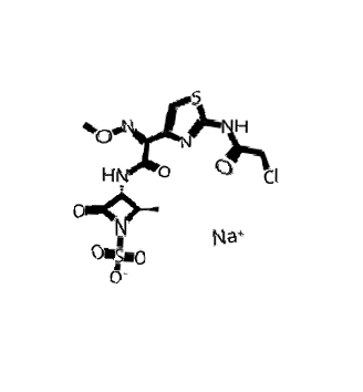 CO/N=C(\C(=O)N[C@H]1C(=O)N(S(=O)(=O)[O-])[C@@H]1C)c1csc(NC(=O)CCl)n1.[Na+]